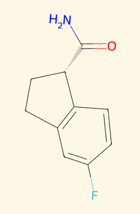 NC(=O)[C@H]1CCc2cc(F)ccc21